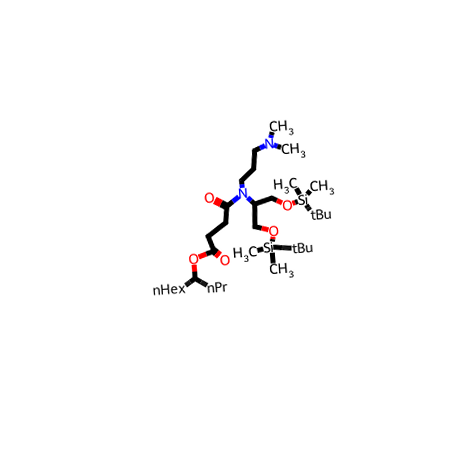 CCCCCCC(CCC)OC(=O)CCC(=O)N(CCCN(C)C)C(CO[Si](C)(C)C(C)(C)C)CO[Si](C)(C)C(C)(C)C